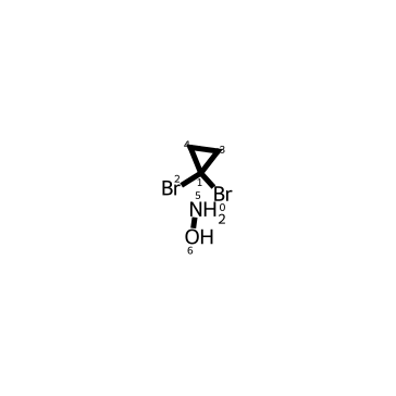 BrC1(Br)CC1.NO